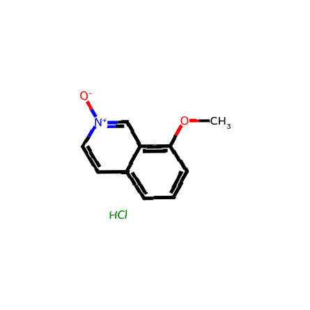 COc1cccc2cc[n+]([O-])cc12.Cl